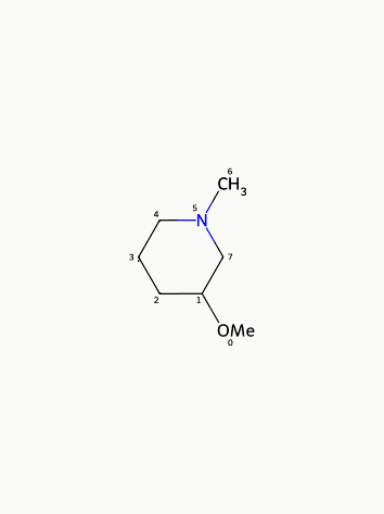 COC1C[CH]CN(C)C1